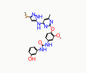 COc1cc(NC(=O)Nc2cccc(O)c2)ccc1Oc1nc(C)cc(Nc2cc(SC)n[nH]2)n1